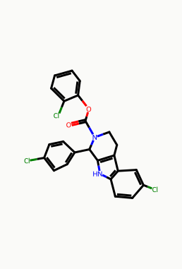 O=C(Oc1ccccc1Cl)N1CCc2c([nH]c3ccc(Cl)cc23)C1c1ccc(Cl)cc1